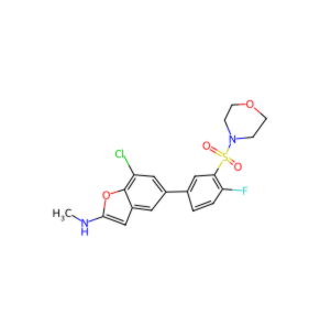 CNc1cc2cc(-c3ccc(F)c(S(=O)(=O)N4CCOCC4)c3)cc(Cl)c2o1